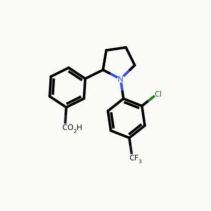 O=C(O)c1cccc(C2CCCN2c2ccc(C(F)(F)F)cc2Cl)c1